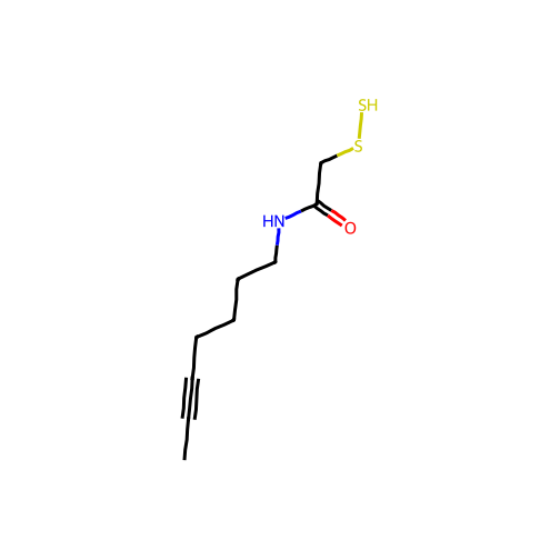 CC#CCCCCNC(=O)CSS